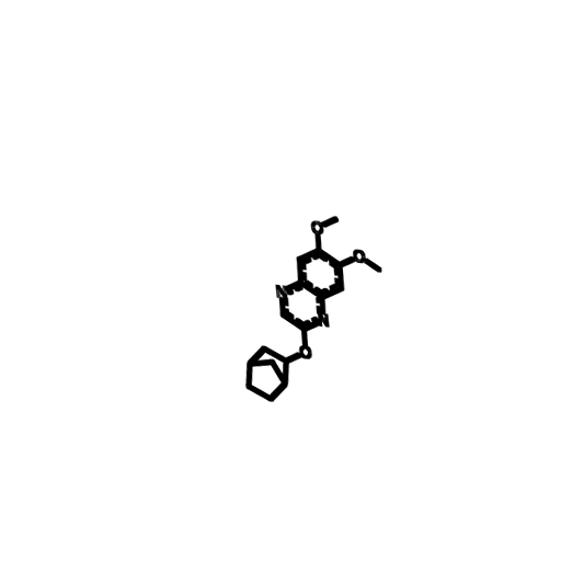 COc1cc2ncc(OC3CC4CCC3C4)nc2cc1OC